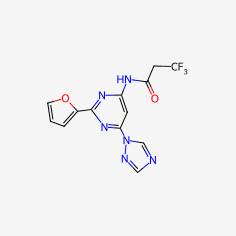 O=C(CC(F)(F)F)Nc1cc(-n2cncn2)nc(-c2ccco2)n1